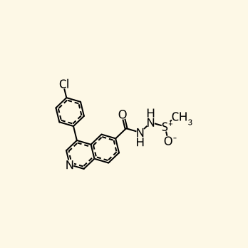 C[S+]([O-])NNC(=O)c1ccc2cncc(-c3ccc(Cl)cc3)c2c1